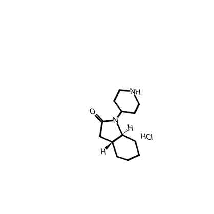 Cl.O=C1C[C@H]2CCCC[C@@H]2N1C1CCNCC1